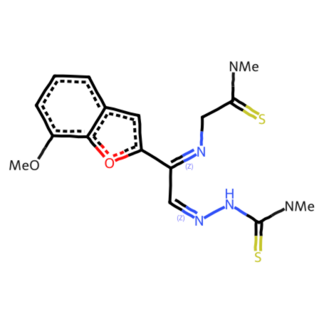 CNC(=S)C/N=C(/C=N\NC(=S)NC)c1cc2cccc(OC)c2o1